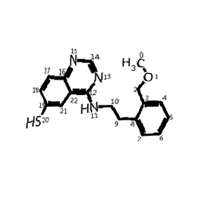 COCc1ccccc1CCNc1ncnc2ccc(S)cc12